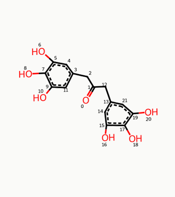 O=C(Cc1cc(O)c(O)c(O)c1)Cc1cc(O)c(O)c(O)c1